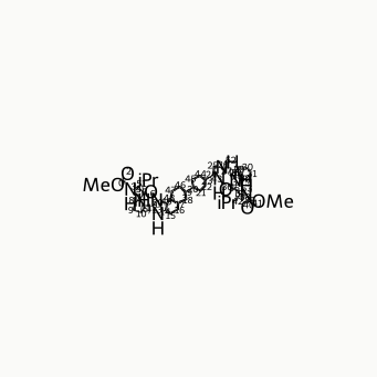 COC(=O)N[C@H](C(=O)N1CCC[C@H]1C1Nc2ccc3cc(-c4ccc(-c5cnc([C@@H]6[C@H]7CC[C@H](C7)N6C(=O)[C@@H](NC(=O)OC)C(C)C)[nH]5)cc4)ccc3c2N1)C(C)C